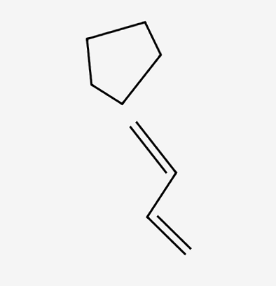 C1CCCC1.C=CC=C